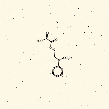 C=C(C)C(=O)OCCN(C(=O)OCC)c1ccccc1